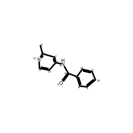 Cc1cc(NC(=O)c2ccccc2)ccn1